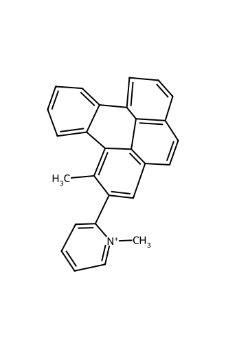 Cc1c(-c2cccc[n+]2C)cc2ccc3cccc4c5ccccc5c1c2c34